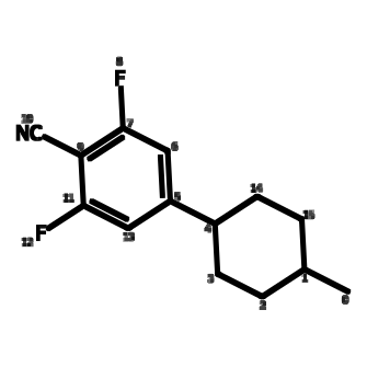 CC1CCC(c2cc(F)c(C#N)c(F)c2)CC1